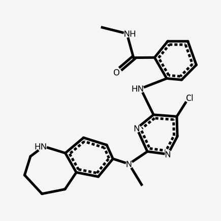 CNC(=O)c1ccccc1Nc1nc(N(C)c2ccc3c(c2)CCCCN3)ncc1Cl